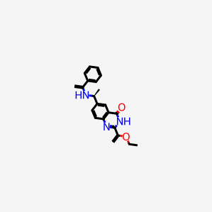 C=C(N[C@@H](C)c1ccc2nc(C(=C)OCC)[nH]c(=O)c2c1)c1ccccc1